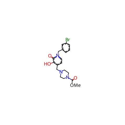 COC(=O)N1CCN(Cc2ccn(Cc3cccc(Br)c3)c(=O)c2O)CC1